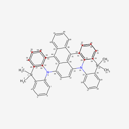 C[Si]1(C)c2ccccc2N(c2ccc(N3c4ccccc4[Si](C)(C)c4ccccc43)c3c(-c4ccccc4)c4ccccc4c(-c4ccccc4)c23)c2ccccc21